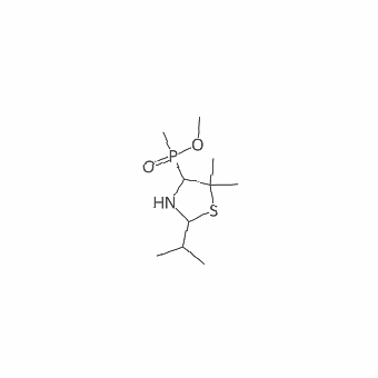 COP(C)(=O)C1NC(C(C)C)SC1(C)C